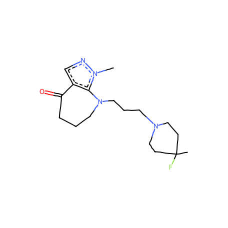 Cn1ncc2c1N(CCCN1CCC(C)(F)CC1)CCCC2=O